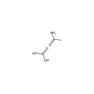 CC(N)=O.O=C(O)O